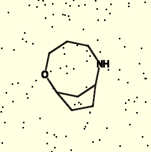 C1CNC2CCC(C2)OC1